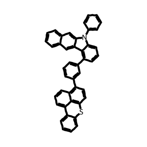 c1ccc(-n2c3cc4ccccc4cc3c3c(-c4cccc(-c5ccc6c7c(cccc57)-c5ccccc5S6)c4)cccc32)cc1